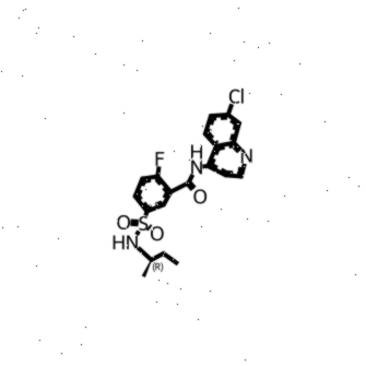 CC[C@@H](C)NS(=O)(=O)c1ccc(F)c(C(=O)Nc2ccnc3cc(Cl)ccc23)c1